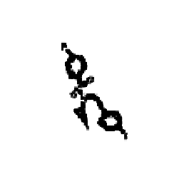 O=S(=O)(c1ccc(F)cc1)N(Cc1ccc(F)cc1)C1CC1